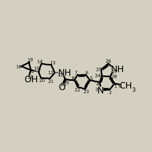 Cc1cnc(-c2ccc(C(=O)N[C@H]3CC[C@H](C4(O)CC4)CC3)cc2)c2cc[nH]c12